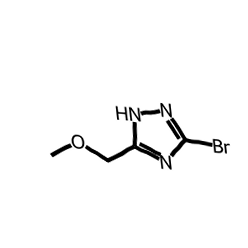 COCc1nc(Br)n[nH]1